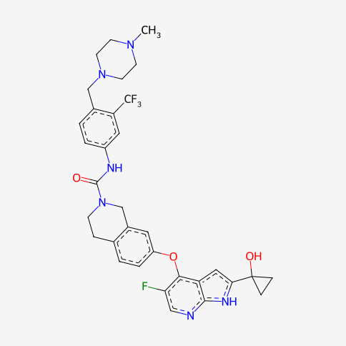 CN1CCN(Cc2ccc(NC(=O)N3CCc4ccc(Oc5c(F)cnc6[nH]c(C7(O)CC7)cc56)cc4C3)cc2C(F)(F)F)CC1